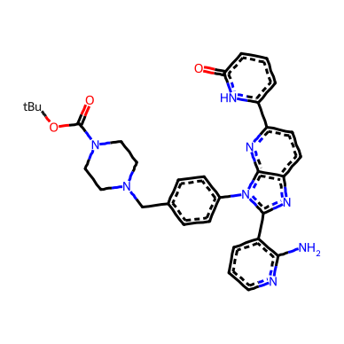 CC(C)(C)OC(=O)N1CCN(Cc2ccc(-n3c(-c4cccnc4N)nc4ccc(-c5cccc(=O)[nH]5)nc43)cc2)CC1